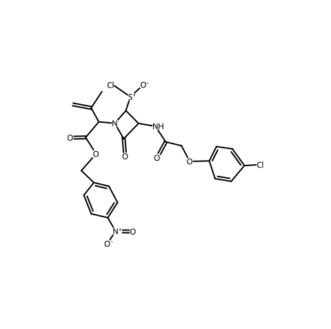 C=C(C)C(C(=O)OCc1ccc([N+](=O)[O-])cc1)N1C(=O)C(NC(=O)COc2ccc(Cl)cc2)C1[S+]([O-])Cl